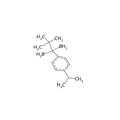 BC(B)(c1ccc(C(C)C)cc1)C(C)(C)C